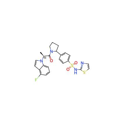 C[C@@H](C(=O)N1CCCC1c1ccc(S(=O)(=O)Nc2nccs2)cc1)n1ccc2c(F)cccc21